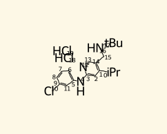 CC(C)c1cc(Nc2cccc(Cl)c2)ncc1CNC(C)(C)C.Cl.Cl